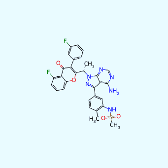 Cc1ccc(-c2nn([C@@H](C)c3oc4cccc(F)c4c(=O)c3-c3cccc(F)c3)c3ncnc(N)c23)cc1NS(C)(=O)=O